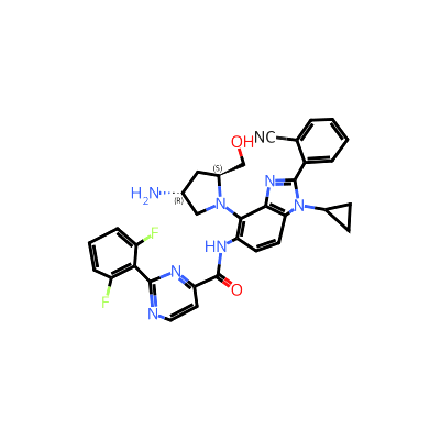 N#Cc1ccccc1-c1nc2c(N3C[C@H](N)C[C@H]3CO)c(NC(=O)c3ccnc(-c4c(F)cccc4F)n3)ccc2n1C1CC1